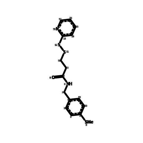 CSc1ccc(CNC(=O)CCSSc2ccccn2)cc1